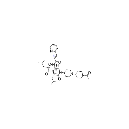 CC(=O)N1CCC(N2CCC(N3C[C@@H]4N(C(=O)/C=C/c5ccccn5)O[C@H](CC(C)C)C(=O)N4[C@@H](CC(C)C)C3=O)CC2)CC1